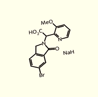 COc1cccnc1C(C(=O)O)N1Cc2ccc(Br)cc2C1=O.[NaH]